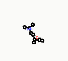 c1ccc(-c2cc(-c3ccccc3)nc(-c3ccc4cc(-c5cc6ccccc6c6c5oc5cc7ccccc7cc56)ccc4c3)n2)cc1